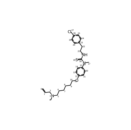 C=CCN(C)CCCCCCOc1ccc(N(C)C(=S)NCCc2ccc(Cl)cc2)cc1